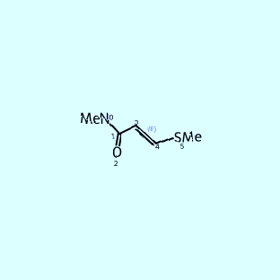 CNC(=O)/C=C/SC